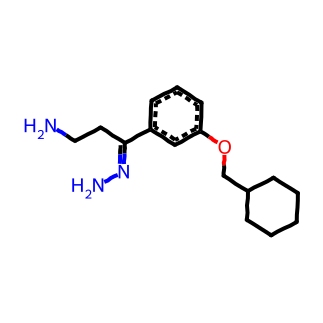 NCCC(=NN)c1cccc(OCC2CCCCC2)c1